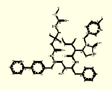 CCC(C)C(C(=O)NC(Cc1ccccc1)C(O)CN(Cc1ccc(-c2ccccn2)cc1)NC(=O)CC(C)(C)CNC(=O)OC)C1CNC(=O)N1Cc1ccc(C)nc1